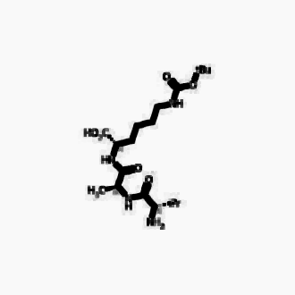 CC(C)[C@H](N)C(=O)N[C@@H](C)C(=O)N[C@@H](CCCCNC(=O)OC(C)(C)C)C(=O)O